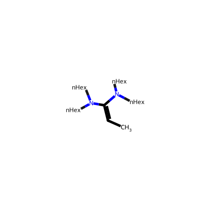 CC=C(N(CCCCCC)CCCCCC)N(CCCCCC)CCCCCC